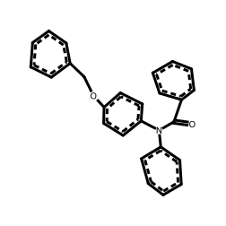 O=C(c1ccccc1)N(c1ccccc1)c1ccc(OCc2ccccc2)cc1